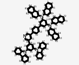 c1ccc2cc(N(c3cc(-c4ccc(-c5cncc(-c6cc(-n7c8ccccc8c8ccccc87)cc(-n7c8ccccc8c8ccccc87)c6)c5)cc4)cc(N(c4ccc5ccccc5c4)c4ccc5ccccc5c4)c3)c3ccc4ccccc4c3)ccc2c1